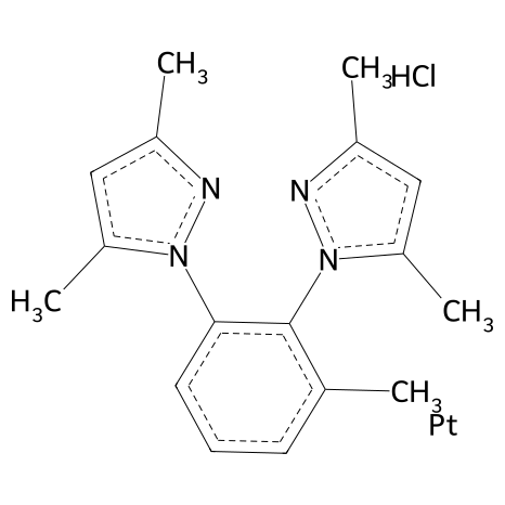 Cc1cc(C)n(-c2cccc(C)c2-n2nc(C)cc2C)n1.Cl.[Pt]